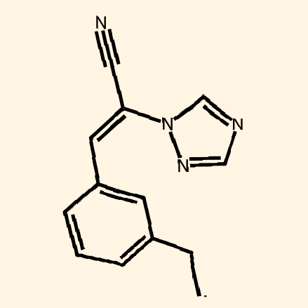 [CH2]Cc1cccc(C=C(C#N)n2cncn2)c1